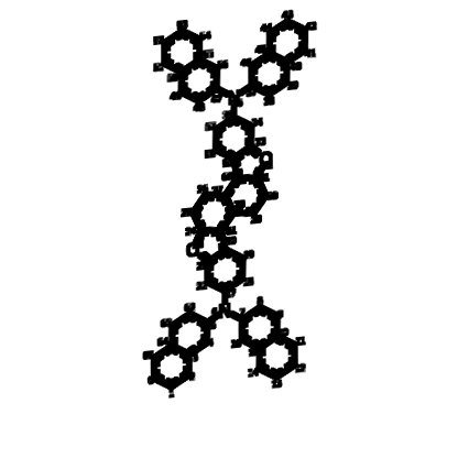 c1ccc2cc(N(c3ccc4ccccc4c3)c3ccc4c(c3)oc3ccc5c(ccc6oc7cc(N(c8ccc9ccccc9c8)c8ccc9ccccc9c8)ccc7c65)c34)ccc2c1